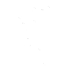 Cc1ncc(C#N)c(Nc2ccc3[nH]ccc3c2C)c1C=Cc1cccc(CN2CCC(N(C)C)CC2)c1